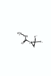 NNC(=O)[C@@H]1CC1(F)F